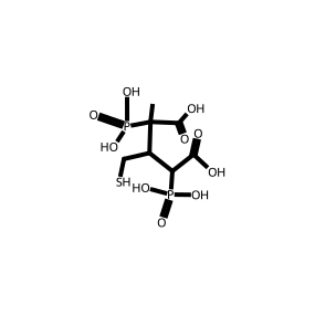 CC(C(=O)O)(C(CS)C(C(=O)O)P(=O)(O)O)P(=O)(O)O